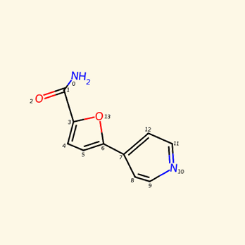 NC(=O)c1ccc(-c2ccncc2)o1